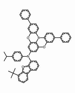 CC(C)c1ccc(N(c2cc3c4c(c2)Oc2cc(-c5ccccc5)ccc2B4c2ccc(-c4ccccc4)cc2O3)c2cccc3c2oc2c(C(C)(C)C)cccc23)cc1